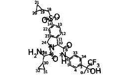 CC(O)(c1ccc(NC(=O)C2c3ccc(S(=O)(=O)CC4CC4)cc3CN2C(=O)C(N)C2CC2)cc1)C(F)(F)F